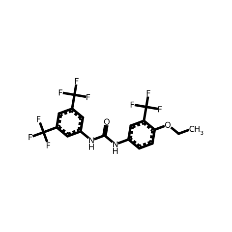 CCOc1ccc(NC(=O)Nc2cc(C(F)(F)F)cc(C(F)(F)F)c2)cc1C(F)(F)F